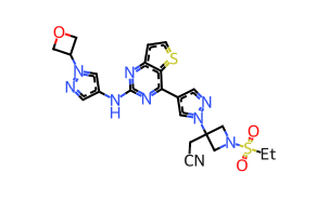 CCS(=O)(=O)N1CC(CC#N)(n2cc(-c3nc(Nc4cnn(C5COC5)c4)nc4ccsc34)cn2)C1